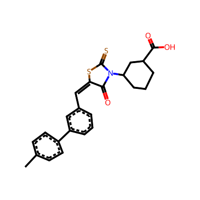 Cc1ccc(-c2cccc(C=C3SC(=S)N(C4CCCC(C(=O)O)C4)C3=O)c2)cc1